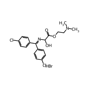 Br.CN(C)CCOC(=O)C(O)N=C(c1ccc(Cl)cc1)c1ccc(Cl)cc1